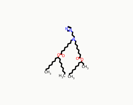 CCCCCCCCC(CC)OC(=O)CCCCCCCN(CCCCCCCC(=O)OC(CCCCCCCC)CCCCCCCC)CCCn1ccnc1